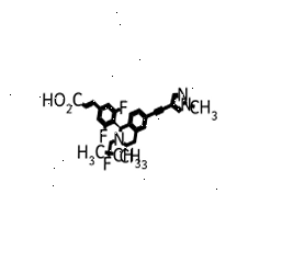 C[C@H]1Cc2cc(C#Cc3cnn(C)c3)ccc2[C@H](c2c(F)cc(/C=C/C(=O)O)cc2F)N1CC(C)(C)F